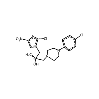 C[C@](O)(CN1CCN(c2ccc(Cl)cc2)CC1)Cn1cc([N+](=O)[O-])nc1Cl